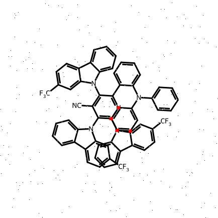 N#Cc1c(-n2c3ccccc3c3ccc(C(F)(F)F)cc32)c(-c2ccccc2N(c2ccccc2)c2ccccc2)nc(-n2c3ccccc3c3ccc(C(F)(F)F)cc32)c1-n1c2ccccc2c2ccc(C(F)(F)F)cc21